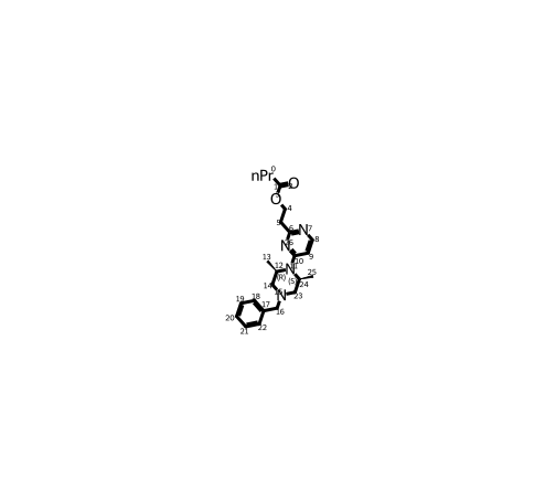 CCCC(=O)OCCc1nccc(N2[C@H](C)CN(Cc3ccccc3)C[C@@H]2C)n1